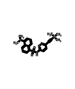 CN(C)c1cccc2c(S(=O)(=O)Nc3ccc(C#C[Si](C)(C)C)nn3)cccc12